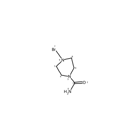 NC(=O)N1CCN(Br)CC1